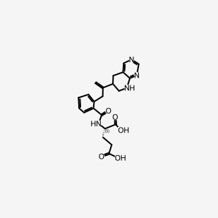 C=C(Cc1ccccc1C(=O)N[C@@H](CCC(=O)O)C(=O)O)C1CNc2ncncc2C1